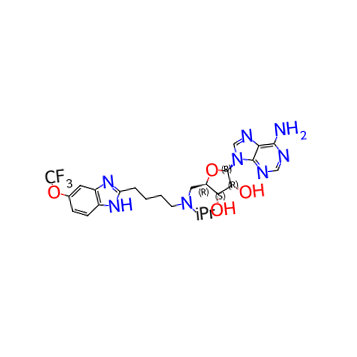 CC(C)N(CCCCc1nc2cc(OC(F)(F)F)ccc2[nH]1)C[C@H]1O[C@@H](n2cnc3c(N)ncnc32)[C@H](O)[C@@H]1O